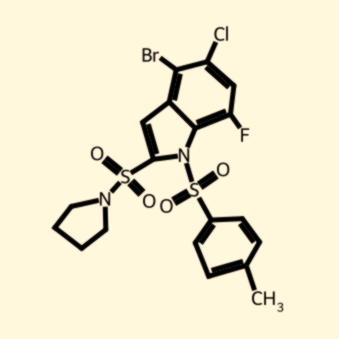 Cc1ccc(S(=O)(=O)n2c(S(=O)(=O)N3CCCC3)cc3c(Br)c(Cl)cc(F)c32)cc1